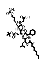 CCCCCCC[C@@H](C)C(=O)N(C)[C@@H](CC(C)C)C(=O)N[C@H](C(=O)N[C@@H](CNC(=O)OC(C)(C)C)C(=O)N[C@@H](COCCCOC(N)=O)C(=O)NCC(=O)O)C1CCCCC1